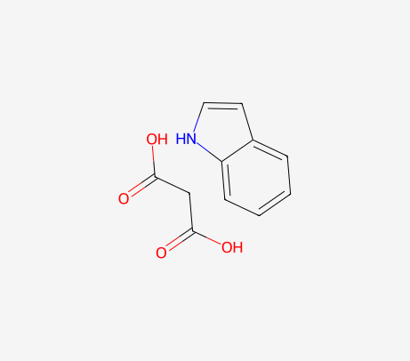 O=C(O)CC(=O)O.c1ccc2[nH]ccc2c1